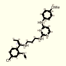 C=Nc1cc(Cl)ccc1/C(=C\C)NCCCNc1nccc(Nc2ccc(OC)cc2)n1